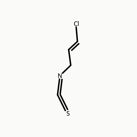 S=C=NCC=CCl